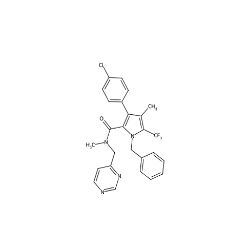 Cc1c(-c2ccc(Cl)cc2)c(C(=O)N(C)Cc2ccncn2)n(Cc2ccccc2)c1C(F)(F)F